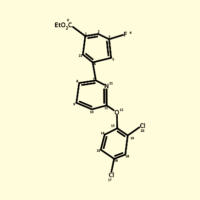 CCOC(=O)c1cc(F)cc(-c2cccc(Oc3ccc(Cl)cc3Cl)n2)c1